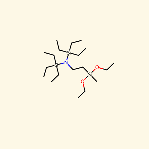 CCO[Si](C)(CCN([Si](CC)(CC)CC)[Si](CC)(CC)CC)OCC